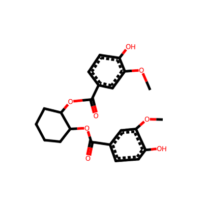 COc1cc(C(=O)OC2CCCCC2OC(=O)c2ccc(O)c(OC)c2)ccc1O